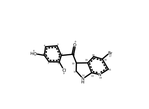 O=C(c1ccc(O)cc1Cl)C1CNc2ncc(Br)cc21